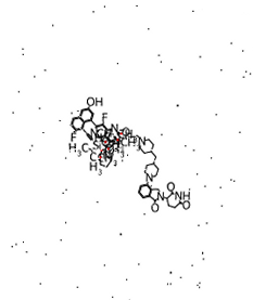 CC(C)[Si](C#Cc1c(F)ccc2cc(O)cc(-c3ncc4c(N5CC6CCC(C5)N6C(=O)OC(C)(C)C)nc(OCCN5CCC(CC6CCN(c7cccc8c7CN(C7CCC(=O)NC7=O)C8=O)CC6)CC5)nc4c3F)c12)(C(C)C)C(C)C